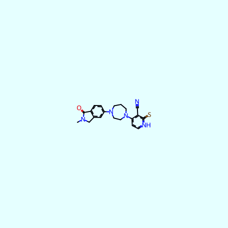 CN1Cc2cc(N3CCCN(c4cc[nH]c(=S)c4C#N)CC3)ccc2C1=O